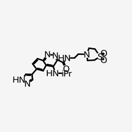 CC(C)Nc1c(C(=O)NCCN2CCS(=O)(=O)CC2)nnc2ccc(-c3cn[nH]c3)cc12